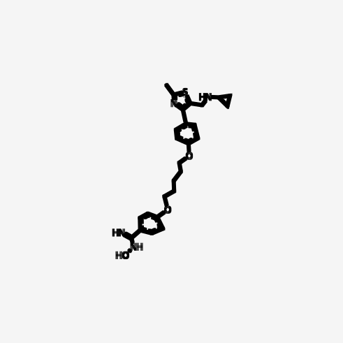 Cc1nc(-c2ccc(OCCCCCOc3ccc(C(=N)NO)cc3)cc2)c(CNC2CC2)s1